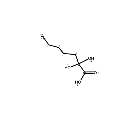 O=C(O)C(O)(O)CCCCCl